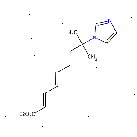 CCOC(=O)/C=C/C=C/CCC(C)(C)n1ccnc1